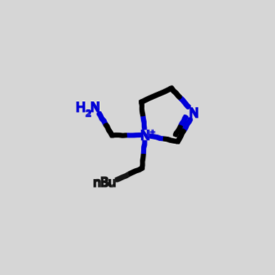 CCCCC[N+]1(CN)C=NCC1